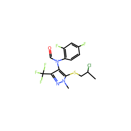 CC(Cl)CSc1c(N(C=O)c2ccc(F)cc2F)c(C(F)(F)F)nn1C